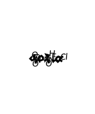 Cc1cc(CNC(=O)N(C[C@@H]2CCCN(C(=O)[C@H]3CCCS3(=O)=O)C2)C2CC2)c(F)cc1Cl